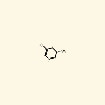 C[C@@H]1C=NC=C(N)C1